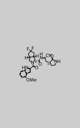 COc1cccc2[nH]c(C(=O)N3C[C@@H]4CC(F)(F)C[C@@H]4[C@@H]3C(=O)N[C@H](C#N)C[C@@H]3CCNC3=O)cc12